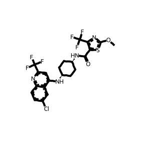 COc1nc(C(F)(F)F)c(C(=O)N[C@H]2CC[C@@H](Nc3cc(C(F)(F)F)nc4ccc(Cl)cc34)CC2)s1